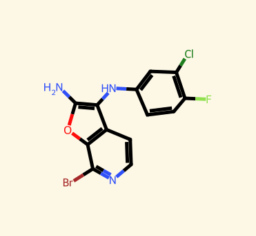 Nc1oc2c(Br)nccc2c1Nc1ccc(F)c(Cl)c1